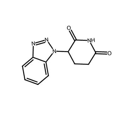 O=C1CCC(n2nnc3ccccc32)C(=O)N1